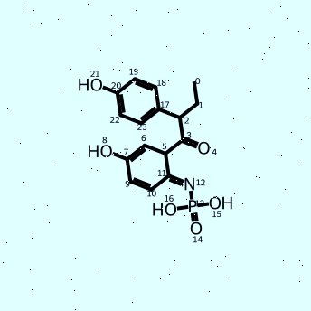 CCC(C(=O)C1C=C(O)C=C/C1=N\P(=O)(O)O)c1ccc(O)cc1